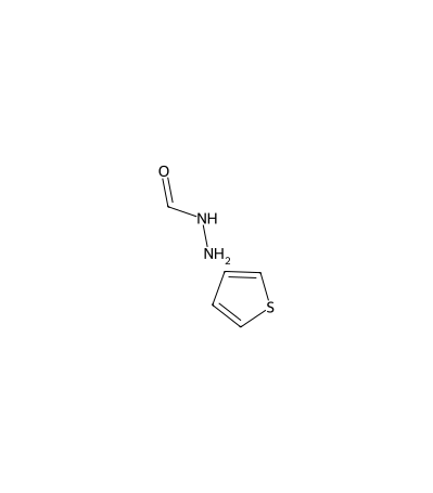 NNC=O.c1ccsc1